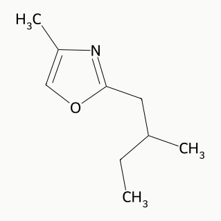 CCC(C)Cc1nc(C)co1